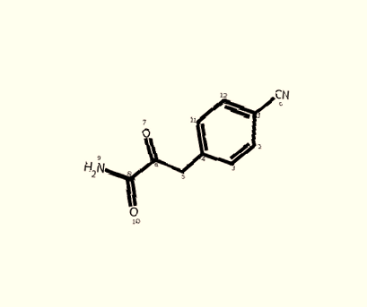 N#Cc1ccc(CC(=O)C(N)=O)cc1